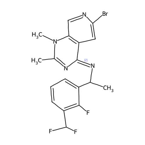 Cc1n/c(=N\C(C)c2cccc(C(F)F)c2F)c2cc(Br)ncc2n1C